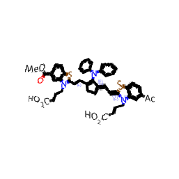 COC(=O)c1ccc2sc(/C=C/C3=C(N(c4ccccc4)c4ccccc4)C(=C/C=C4\Sc5ccc(C(C)=O)cc5N4CCCC(=O)O)/CC3)[n+](CCCC(=O)O)c2c1